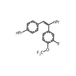 CCCC(=Cc1ccc(CCC)cc1)c1ccc(OC(F)(F)F)c(F)c1